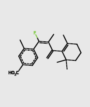 C=C(C(C)=C(F)c1ccc(C(=O)O)cc1C)C1=C(C)CCCC1(C)C